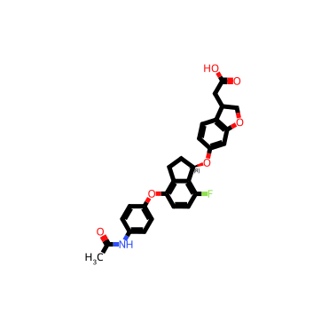 CC(=O)Nc1ccc(Oc2ccc(F)c3c2CC[C@H]3Oc2ccc3c(c2)OCC3CC(=O)O)cc1